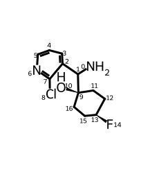 NC(c1cccnc1Cl)[C@]1(O)CC[C@@H](F)CC1